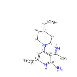 CCOC(=O)c1cc(N2CCC(COC)CC2)c(C(=N)C(C)C)c(N)n1